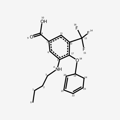 CCCCNc1cc(C(=O)O)cc(C(F)(F)F)c1OC1C=CC=CC1